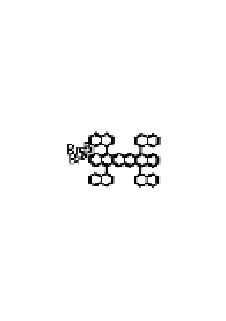 Br[Si](Br)(Br)c1ccc2c(-c3cccc4ccccc34)c3cc4cc5c(-c6cccc7ccccc67)c6ccccc6c(-c6cccc7ccccc67)c5cc4cc3c(-c3cccc4ccccc34)c2c1